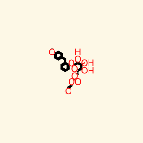 COCCOC(=O)OC[C@H]1O[C@H](Oc2ccccc2Cc2ccc(OC)cc2)[C@H](O)[C@@H](O)[C@@H]1O